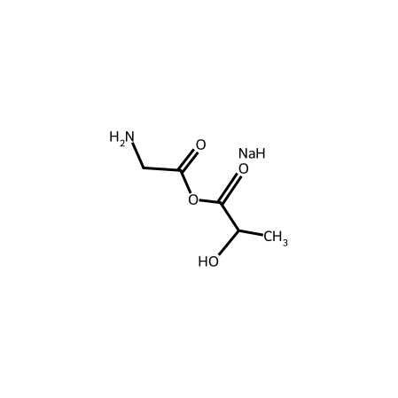 CC(O)C(=O)OC(=O)CN.[NaH]